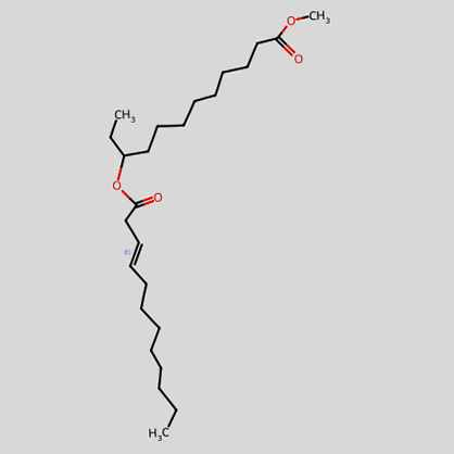 CCCCCCCC/C=C/CC(=O)OC(CC)CCCCCCCCC(=O)OC